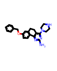 Nc1nc2c(c(N3CCNCC3)n1)CCc1cc(OCc3ccccc3)ccc1-2